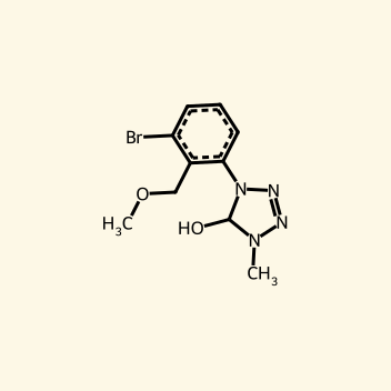 COCc1c(Br)cccc1N1N=NN(C)C1O